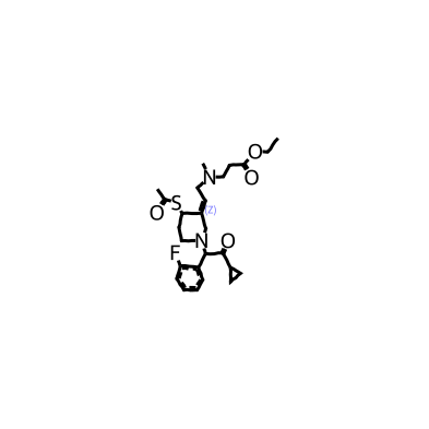 CCOC(=O)CCN(C)C/C=C1/CN(C(C(=O)C2CC2)c2ccccc2F)CCC1SC(C)=O